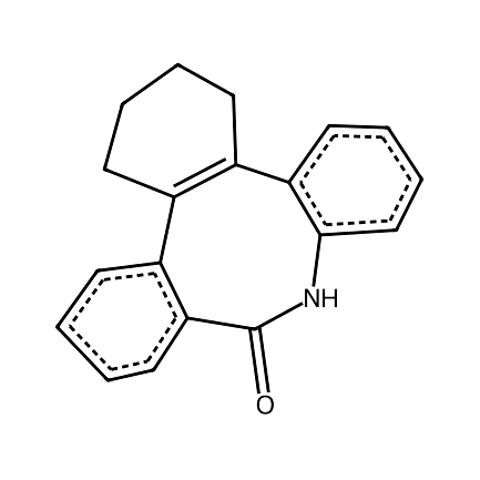 O=C1Nc2ccccc2C2=C(CCCC2)c2ccccc21